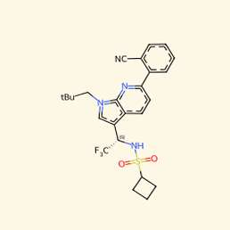 CC(C)(C)Cn1cc([C@H](NS(=O)(=O)C2CCC2)C(F)(F)F)c2ccc(-c3ccccc3C#N)nc21